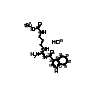 CC(C)(C)OC(=O)NCCCNC(N)=NC(=O)c1c[nH]c2ccccc12.Cl